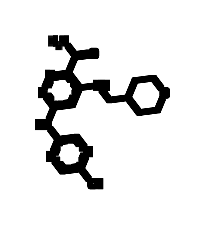 N#Cc1cnc(Nc2cc(NCC3CCOCC3)c(C(N)=O)nn2)cn1